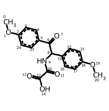 COc1ccc(C(=O)C(NC(=O)C(=O)O)c2ccc(OC)cc2)cc1